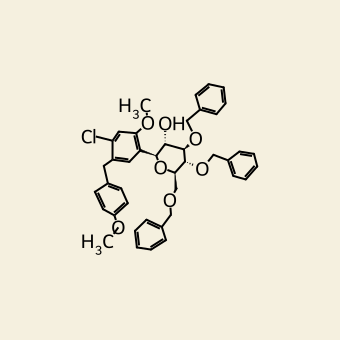 COc1ccc(Cc2cc([C@@H]3O[C@H](COCc4ccccc4)[C@@H](OCc4ccccc4)[C@H](OCc4ccccc4)[C@H]3O)c(OC)cc2Cl)cc1